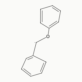 [CH](Oc1ccccc1)c1ccccc1